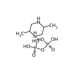 CC1CNC(C)CN1.O=P(O)(O)OP(=O)(O)O